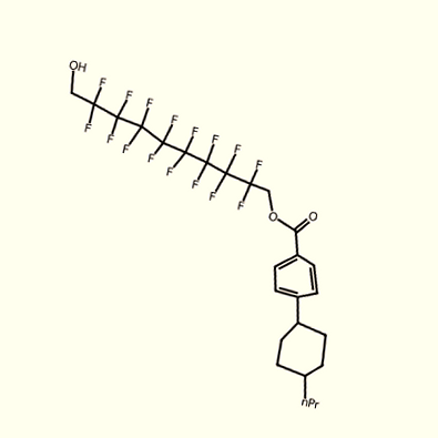 CCCC1CCC(c2ccc(C(=O)OCC(F)(F)C(F)(F)C(F)(F)C(F)(F)C(F)(F)C(F)(F)C(F)(F)C(F)(F)CO)cc2)CC1